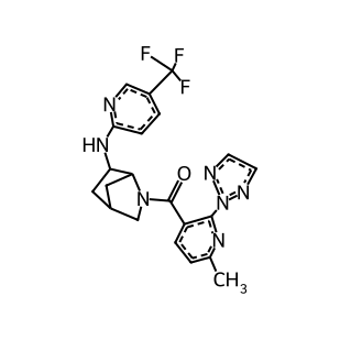 Cc1ccc(C(=O)N2CC3CC(Nc4ccc(C(F)(F)F)cn4)C2C3)c(-n2nccn2)n1